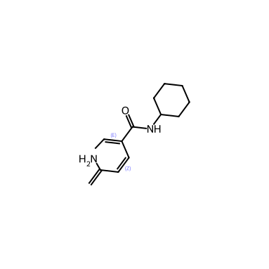 C=C(N)/C=C\C(=C/C)C(=O)NC1CCCCC1